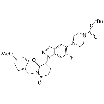 COc1ccc(CN2C(=O)CCC(n3ncc4cc(N5CCN(C(=O)OC(C)(C)C)CC5)c(F)cc43)C2=O)cc1